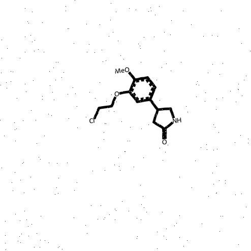 COc1ccc(C2CNC(=O)C2)cc1OCCCl